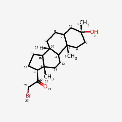 C[C@@]1(O)CC[C@@]2(C)C(CC[C@@H]3C2CC[C@@]2(C)C3CC[C@@H]2C(=O)CBr)C1